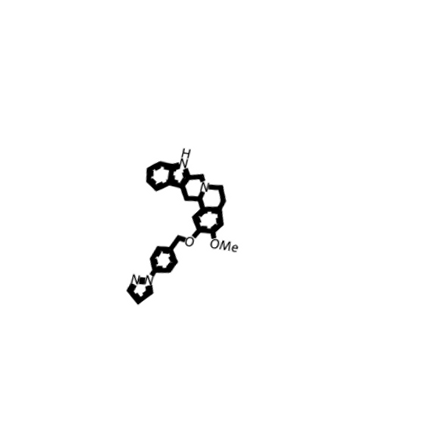 COc1cc2c(cc1OCc1ccc(-n3cccn3)cc1)C1Cc3c([nH]c4ccccc34)CN1CC2